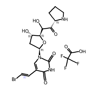 O=C(C(O)[C@H]1O[C@@H](n2cc(/C=C/Br)c(=O)[nH]c2=O)C[C@@H]1O)[C@@H]1CCCN1.O=C(O)C(F)(F)F